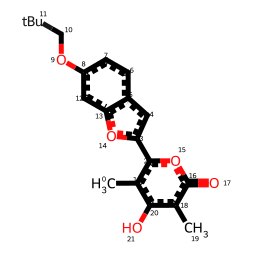 Cc1c(-c2cc3ccc(OCC(C)(C)C)cc3o2)oc(=O)c(C)c1O